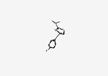 CN(C)c1nc(-c2ccc(F)cc2)cs1